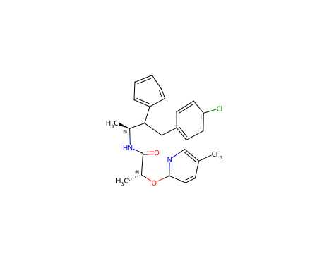 C[C@H](NC(=O)[C@@H](C)Oc1ccc(C(F)(F)F)cn1)C(Cc1ccc(Cl)cc1)c1ccccc1